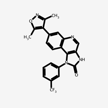 Cc1noc(C)c1-c1ccc2c(c1)ncc1[nH]c(=O)n(-c3cccc(C(F)(F)F)c3)c12